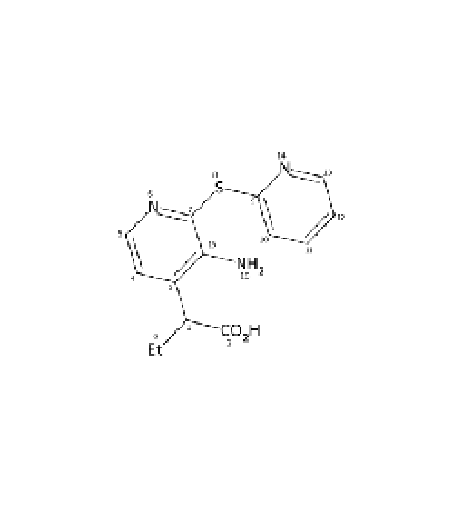 CCC(C(=O)O)c1ccnc(Sc2ccccn2)c1N